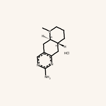 CN1CCC[C@@H]2Cc3nc(N)ncc3C[C@H]21.Cl